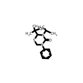 CC(C)N1C(=O)N(c2ccccc2)CSC1C(C)(C)C